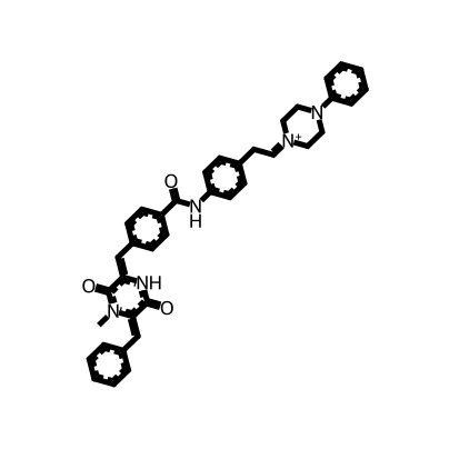 Cn1c(=O)/c(=C/c2ccc(C(=O)Nc3ccc(CC=[N+]4CCN(c5ccccc5)CC4)cc3)cc2)[nH]c(=O)/c1=C/c1ccccc1